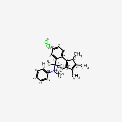 CC1=C(C)C(C)C(c2ccccc2C(C)(C)[N]([Ti+2])c2ccccc2)=C1C.[Cl-].[Cl-]